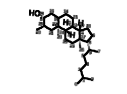 CC(C)CCCC(C)[C@H]1CC[C@H]2[C@@H]3CCC4C[C@@H](O)[C@H](C)C[C@]4(C)[C@H]3CC[C@]12C